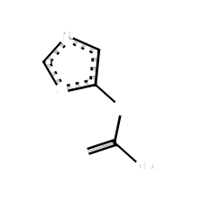 CC(C)(C)C(=O)Oc1cnco1